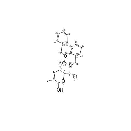 CC[C@H](C1CCC(I)C(O)O1)N(Cc1ccccc1)C(=O)OCc1ccccc1